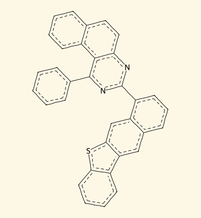 c1ccc(-c2nc(-c3cccc4cc5c(cc34)sc3ccccc35)nc3ccc4ccccc4c23)cc1